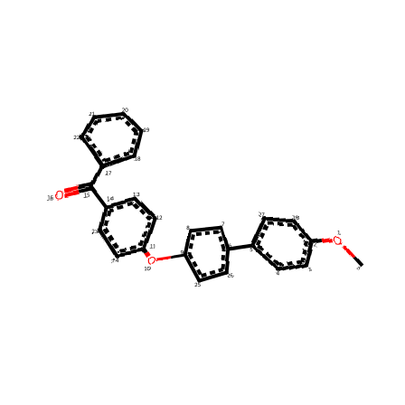 COc1ccc(-c2ccc(Oc3ccc(C(=O)c4ccccc4)cc3)cc2)cc1